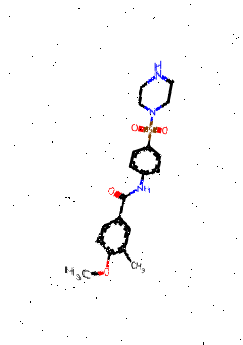 COc1ccc(C(=O)Nc2ccc(S(=O)(=O)N3CCNCC3)cc2)cc1C